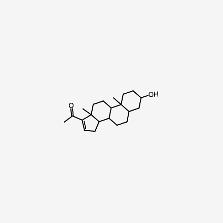 CC(=O)C1=CCC2C3CCC4CC(O)CCC4(C)C3CCC12C